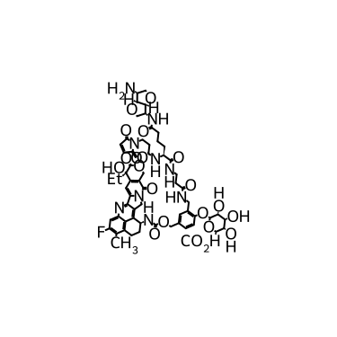 CC[C@@]1(O)C(=O)OCc2c1cc1n(c2=O)Cc2c-1nc1cc(F)c(C)c3c1c2[C@@H](NC(=O)OCc1ccc(O[C@@H]2O[C@H](C(=O)O)[C@@H](O)[C@H](O)[C@H]2O)c(CNC(=O)CCNC(=O)[C@H](CCCC(=O)N[C@H]2CO[C@H]4[C@@H]2OC[C@@H]4N)NC(=O)CCN2C(=O)C=CC2=O)c1)CC3